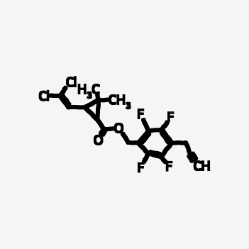 C#CCc1c(F)c(F)c(COC(=O)C2C(C=C(Cl)Cl)C2(C)C)c(F)c1F